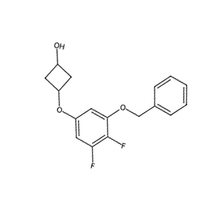 OC1CC(Oc2cc(F)c(F)c(OCc3ccccc3)c2)C1